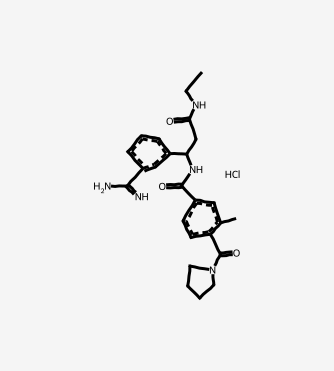 CCNC(=O)CC(NC(=O)c1ccc(C(=O)N2CCCC2)c(C)c1)c1cccc(C(=N)N)c1.Cl